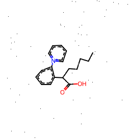 CCCCCC(C(=O)O)c1ccccc1-[n+]1ccccc1